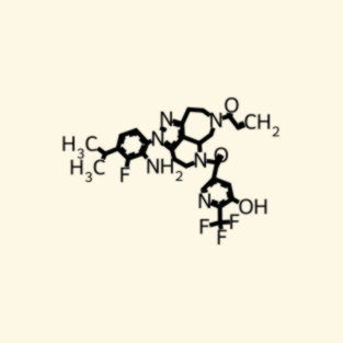 C=CC(=O)N1CCc2nn(-c3ccc(C(C)C)c(F)c3N)c3c2C(C1)N(C(=O)c1cnc(C(F)(F)F)c(O)c1)CC3